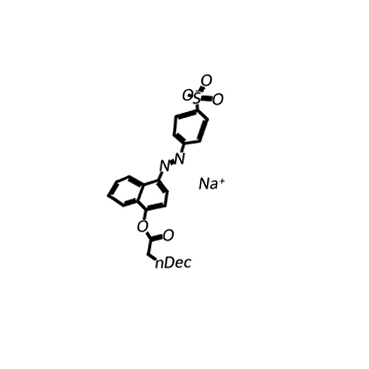 CCCCCCCCCCCC(=O)Oc1ccc(N=Nc2ccc(S(=O)(=O)[O-])cc2)c2ccccc12.[Na+]